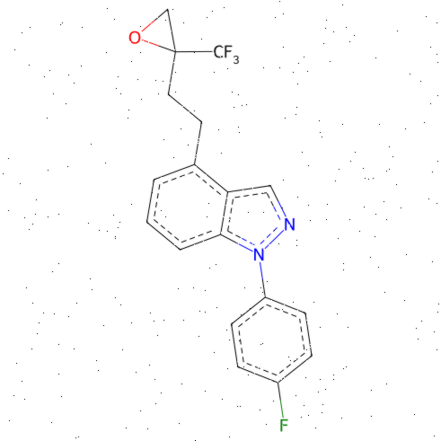 Fc1ccc(-n2ncc3c(CCC4(C(F)(F)F)CO4)cccc32)cc1